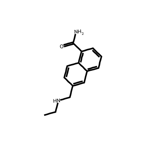 CCNCc1ccc2c(C(N)=O)cccc2c1